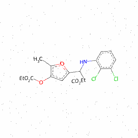 CCOC(=O)Oc1cc(C(Nc2cccc(Cl)c2Cl)C(=O)OCC)oc1C